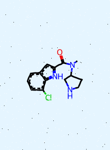 CN(C(=O)c1cc2cccc(Cl)c2[nH]1)C1CCNC1